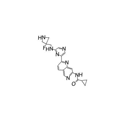 O=C(Nc1cc2nc(-c3cncc(NCC4(F)CNC4)n3)ccc2cn1)C1CC1